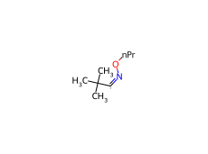 CCCO/N=[C]\C(C)(C)C